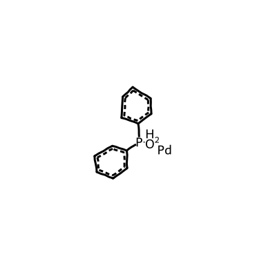 O.[Pd].c1ccc([P]c2ccccc2)cc1